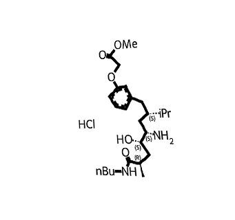 CCCCNC(=O)[C@H](C)C[C@H](O)[C@@H](N)C[C@H](Cc1cccc(OCC(=O)OC)c1)C(C)C.Cl